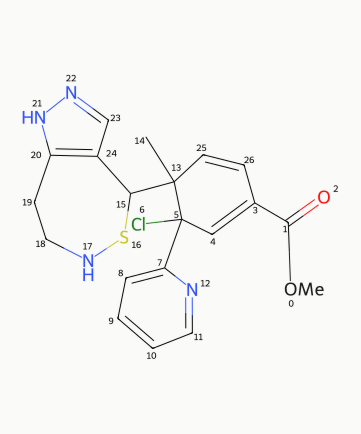 COC(=O)C1=CC(Cl)(c2ccccn2)C(C)(C2SNCCc3[nH]ncc32)C=C1